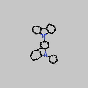 C1=CC2=CC(C=C1)c1cc(-n3c4ccccc4c4ccccc43)ccc1N2c1ccccc1